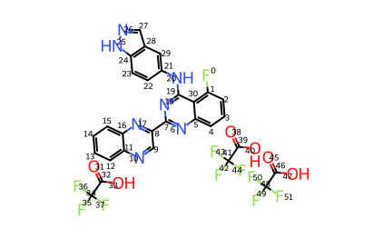 Fc1cccc2nc(-c3cnc4ccccc4n3)nc(Nc3ccc4[nH]ncc4c3)c12.O=C(O)C(F)(F)F.O=C(O)C(F)(F)F.O=C(O)C(F)(F)F